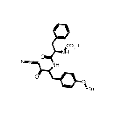 CC(C)(C)Oc1ccc(CC(NC(=O)C(Cc2ccccc2)NC(=O)O)C(=O)C=[N+]=[N-])cc1